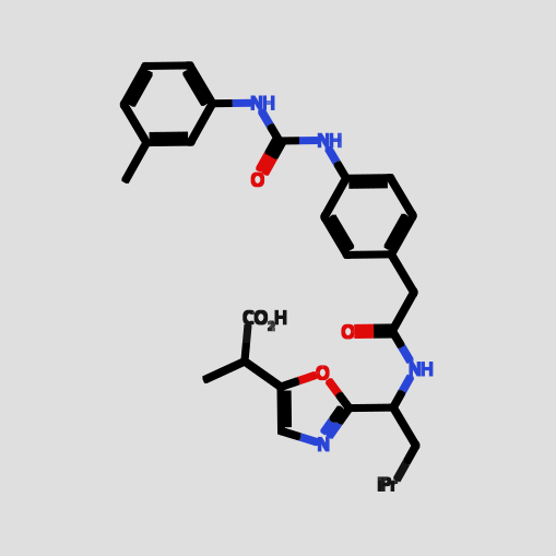 Cc1cccc(NC(=O)Nc2ccc(CC(=O)NC(CC(C)C)c3ncc(C(C)C(=O)O)o3)cc2)c1